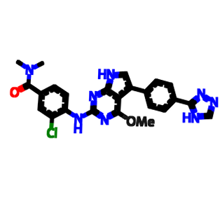 COc1nc(Nc2ccc(C(=O)N(C)C)cc2Cl)nc2[nH]cc(-c3ccc(-c4nnc[nH]4)cc3)c12